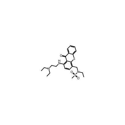 CCN(CC)CCNc1ccc(CN(CC)S(C)(=O)=O)c2sc3ccccc3c(=O)c12